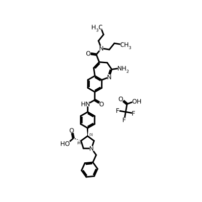 CCCN(CCC)C(=O)C1=Cc2ccc(C(=O)Nc3ccc([C@H]4CN(Cc5ccccc5)C[C@@H]4C(=O)O)cc3)cc2N=C(N)C1.O=C(O)C(F)(F)F